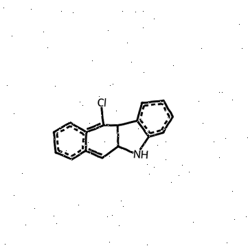 ClC1=c2ccccc2=CC2Nc3ccccc3C12